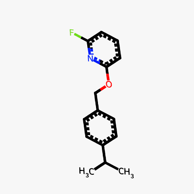 CC(C)c1ccc(COc2cccc(F)n2)cc1